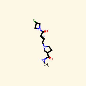 CNC(=O)C1CCN(C/C=C/C(=O)N2CC(F)C2)C1